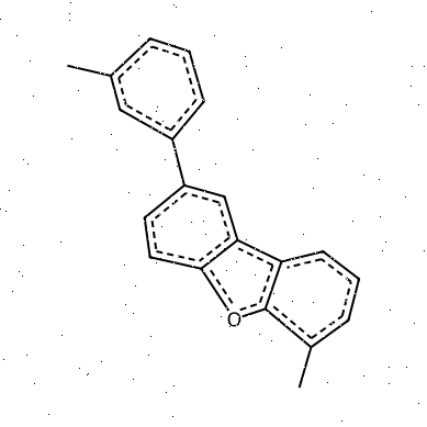 Cc1cccc(-c2ccc3oc4c(C)cccc4c3c2)c1